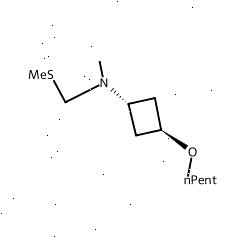 CCCCCO[C@H]1C[C@H](N(C)CSC)C1